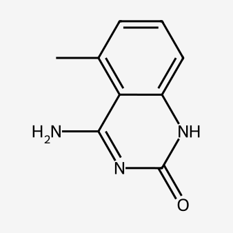 Cc1cccc2[nH]c(=O)nc(N)c12